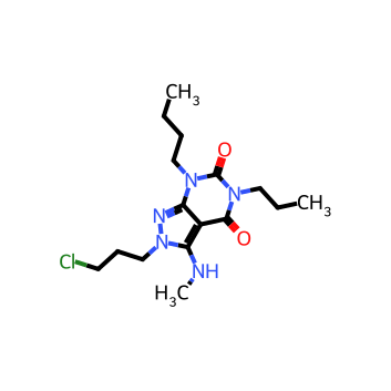 CCCCn1c(=O)n(CCC)c(=O)c2c(NC)n(CCCCl)nc21